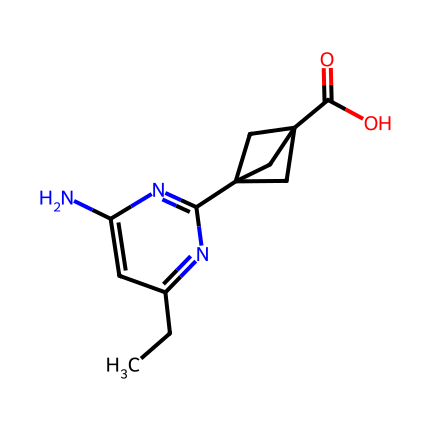 CCc1cc(N)nc(C23CC(C(=O)O)(C2)C3)n1